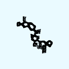 O=C1Cc2cc(Nc3ncc(C(F)(F)F)c(NCC4(O)CCC4)n3)ccc2N1